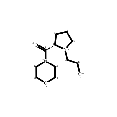 O=C([C@@H]1CCCN1CCO)N1CCOCC1